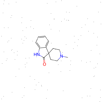 CN1CCC2(CC1)C(=O)Nc1ccccc12